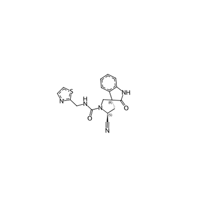 N#C[C@@H]1C[C@@]2(CN1C(=O)NCc1nccs1)C(=O)Nc1ccccc12